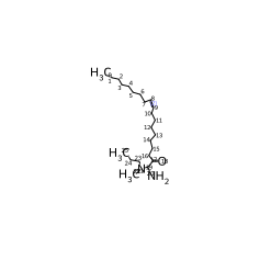 CCCCCCCC/C=C\CCCCCCCC(=O)C(N)N(C)CCC